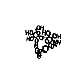 CC(=O)N[C@@H]1[C@@H](Oc2ccc([N+](=O)[O-])cc2)O[C@H](CO[C@@H]2O[C@H](CO)[C@H](O)[C@H](O)[C@H]2O)[C@@H](O)[C@@H]1O